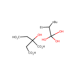 CCCCC(CC)C(O)(O)O.O=C(O)CC(O)(CC(=O)O)C(=O)O